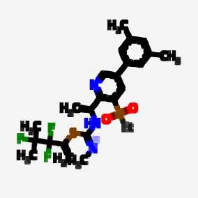 C=C(N/C(=N/C)SC(=C)C(F)(F)C(C)(C)F)c1ncc(-c2cc(C)cc(C)c2)cc1S(=O)(=O)CC